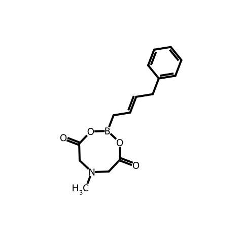 CN1CC(=O)OB(C/C=C/Cc2ccccc2)OC(=O)C1